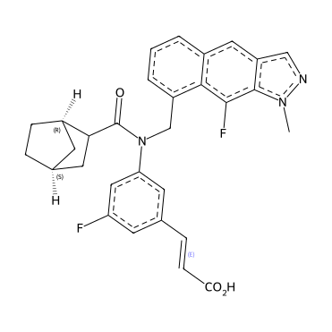 Cn1ncc2cc3cccc(CN(C(=O)C4C[C@H]5CC[C@@H]4C5)c4cc(F)cc(/C=C/C(=O)O)c4)c3c(F)c21